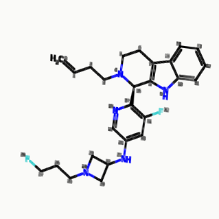 C=CCCN1CCc2c([nH]c3ccccc23)[C@H]1c1ncc(NC2CN(CCCF)C2)cc1F